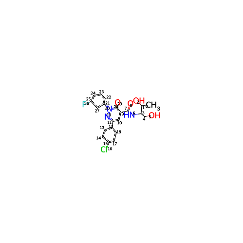 CC(O)C(CO)NC(=O)c1cc(-c2ccc(Cl)cc2)nn(-c2cccc(F)c2)c1=O